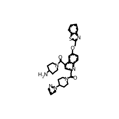 NC1CCN(C(=O)c2cc(C(=O)N3CCC(n4cccn4)CC3)nc3ccc(OCc4nc5ccccc5s4)cc23)CC1